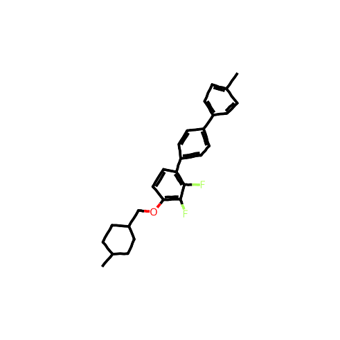 Cc1ccc(-c2ccc(-c3ccc(OCC4CCC(C)CC4)c(F)c3F)cc2)cc1